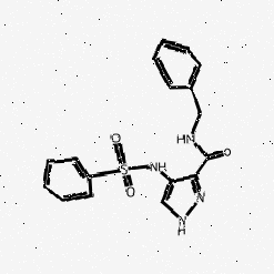 O=C(NCc1ccccc1)c1n[nH]cc1NS(=O)(=O)c1ccccc1